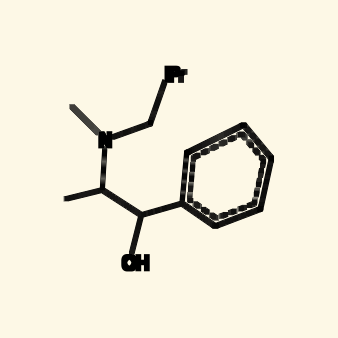 CC(C)CN(C)C(C)C(O)c1ccccc1